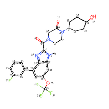 Cn1c(C(=O)N2CCN(C3CCC(O)CC3)C(=O)C2)nc2c(-c3cccc(F)c3)cc(OC(F)(F)F)cc21